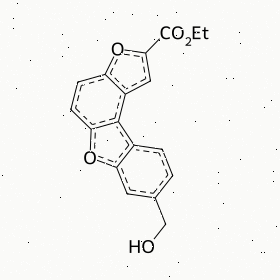 CCOC(=O)c1cc2c(ccc3oc4cc(CO)ccc4c32)o1